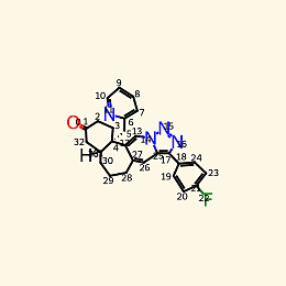 O=C1CC[C@@]2(Cc3ccccn3)c3cn4nnc(-c5ccc(F)cc5)c4cc3CCC[C@@H]2C1